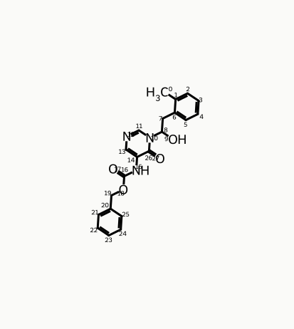 Cc1ccccc1CC(O)n1cncc(NC(=O)OCc2ccccc2)c1=O